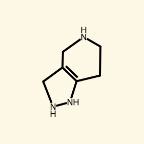 C1CC2=C(CN1)CNN2